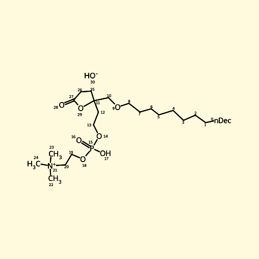 CCCCCCCCCCCCCCCCCCOCC1(CCOP(=O)(O)OCC[N+](C)(C)C)CCC(=O)O1.[OH-]